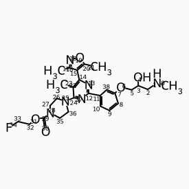 CNCC(O)COc1cccc(-c2nc(-c3c(C)noc3C)c(C)c(N3CCN(C(=O)OCCF)CC3)n2)c1